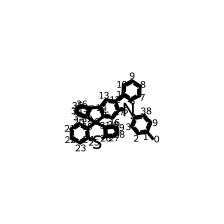 Cc1ccc(-n2c3ccccc3c3cc4c(cc32)C2(c3ccccc3Sc3ccccc32)c2ccccc2-4)cc1